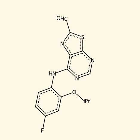 CC(C)Oc1cc(F)ccc1Nc1ncnc2sc(C=O)nc12